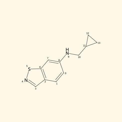 c1cc2cnsc2cc1NCC1CC1